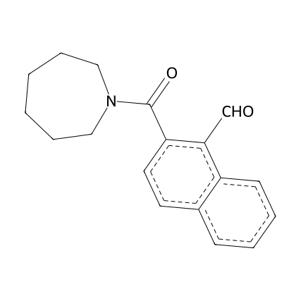 O=Cc1c(C(=O)N2CCCCCC2)ccc2ccccc12